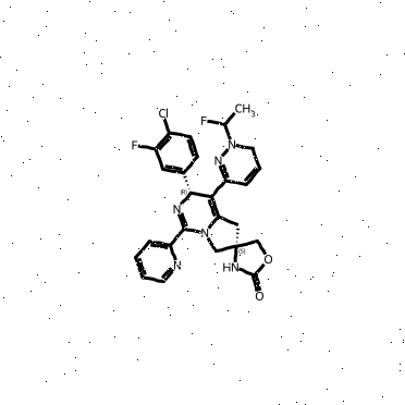 CC(F)N1CC=CC(C2=C3C[C@@]4(COC(=O)N4)CN3C(c3ccccn3)=N[C@@H]2c2ccc(Cl)c(F)c2)=N1